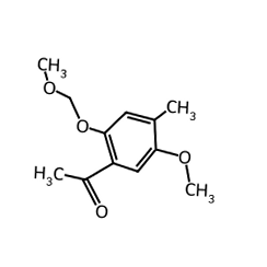 COCOc1cc(C)c(OC)cc1C(C)=O